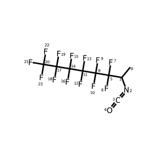 CC(N=C=O)C(F)(F)C(F)(F)C(F)(F)C(F)(F)C(F)(F)C(F)(F)F